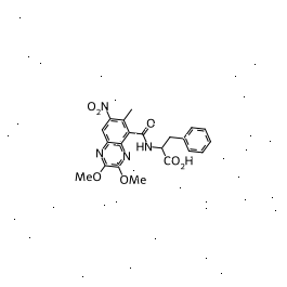 COc1nc2cc([N+](=O)[O-])c(C)c(C(=O)NC(Cc3ccccc3)C(=O)O)c2nc1OC